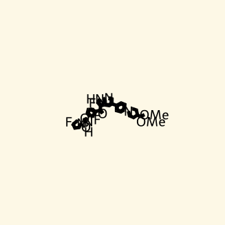 COC(OC)C1CCN(c2ccc(-c3cnc4[nH]cc(C(=O)c5c(F)ccc(NS(=O)(=O)N6CCC(F)C6)c5F)c4c3)cc2)CC1